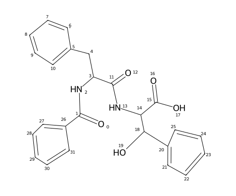 O=C(NC(Cc1[c]cccc1)C(=O)NC(C(=O)O)C(O)c1ccccc1)c1ccccc1